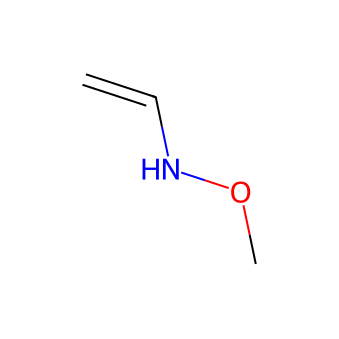 C=CNOC